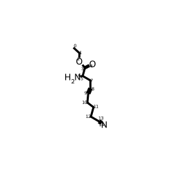 CCOC(=O)C(N)CC#CCCCC#N